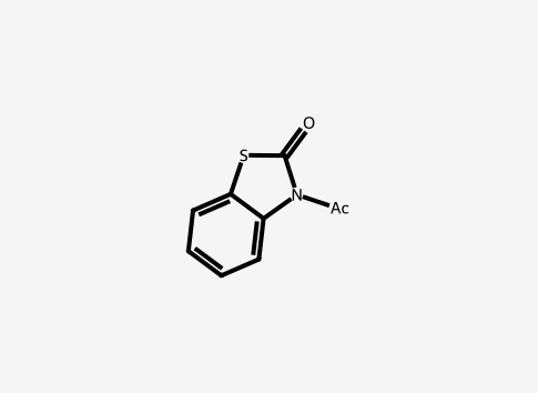 CC(=O)n1c(=O)sc2ccccc21